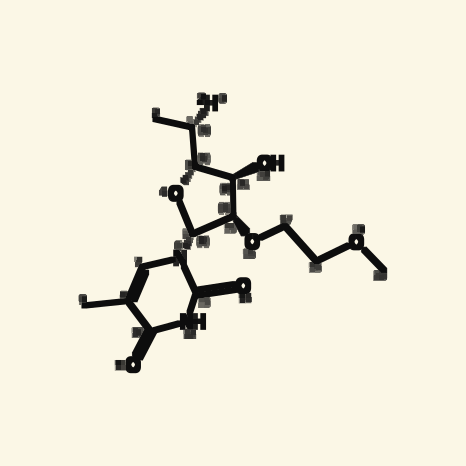 [2H][C@@H](C)[C@H]1O[C@@H](n2cc(C)c(=O)[nH]c2=O)[C@H](OCCOC)[C@@H]1O